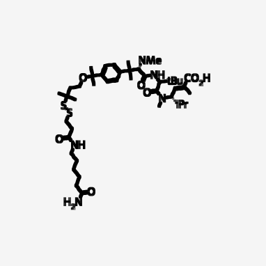 CN[C@H](C(=O)NC(C(=O)N(C)[C@H](/C=C(\C)C(=O)O)C(C)C)C(C)(C)C)C(C)(C)c1ccc(C(C)(C)OCCC(C)(C)SSCCC(=O)NCCCCCC(N)=O)cc1